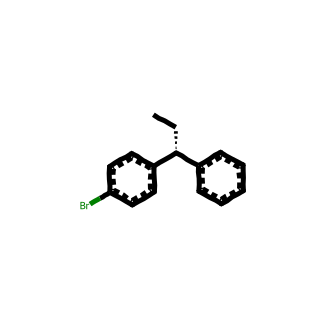 CC[C@H](c1ccccc1)c1ccc(Br)cc1